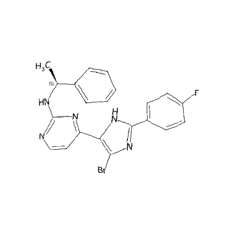 C[C@H](Nc1nccc(-c2[nH]c(-c3ccc(F)cc3)nc2Br)n1)c1ccccc1